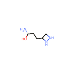 N[C@@H](O)CCC1CNN1